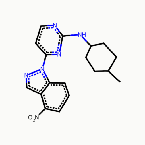 CC1CCC(Nc2nccc(-n3ncc4c([N+](=O)[O-])cccc43)n2)CC1